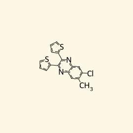 Cc1cc2nc(-c3cccs3)c(-c3cccs3)nc2cc1Cl